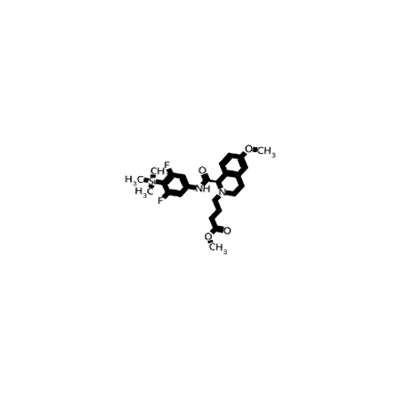 COC(=O)CCCN1CCc2cc(OC)ccc2[C@@H]1C(=O)Nc1cc(F)c([Si](C)(C)C)c(F)c1